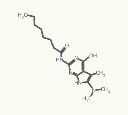 CCCCCCCC(=O)Nc1nc(O)c2c(C)c(N(C)C)[nH]c2n1